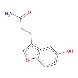 NC(=O)CCc1coc2ccc(O)cc12